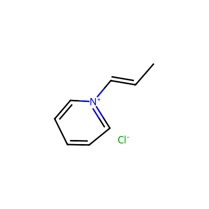 CC=C[n+]1ccccc1.[Cl-]